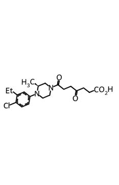 CCc1cc(N2CCN(C(=O)CCC(=O)CCC(=O)O)C[C@@H]2C)ccc1Cl